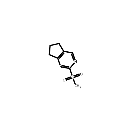 CS(=O)(=O)c1ncc2c(n1)CCC2